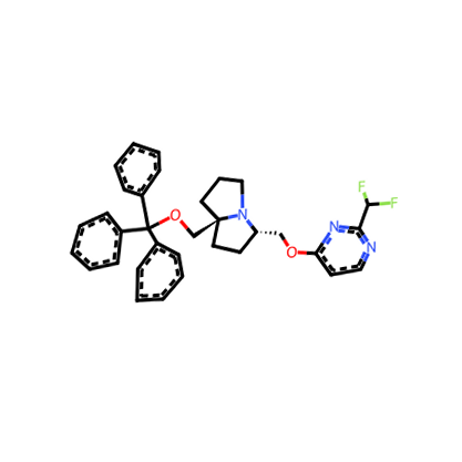 FC(F)c1nccc(OC[C@@H]2CC[C@]3(COC(c4ccccc4)(c4ccccc4)c4ccccc4)CCCN23)n1